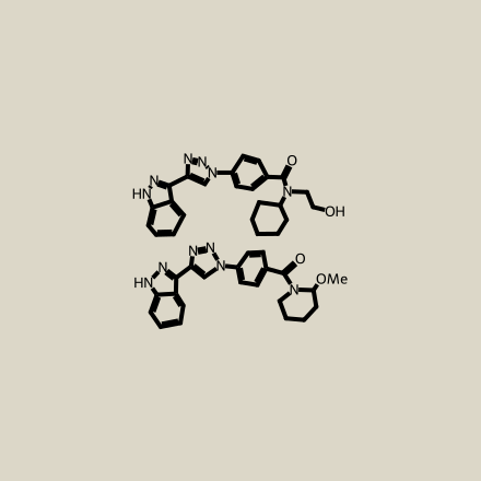 COC1CCCCN1C(=O)c1ccc(-n2cc(-c3n[nH]c4ccccc34)nn2)cc1.O=C(c1ccc(-n2cc(-c3n[nH]c4ccccc34)nn2)cc1)N(CCO)C1CCCCC1